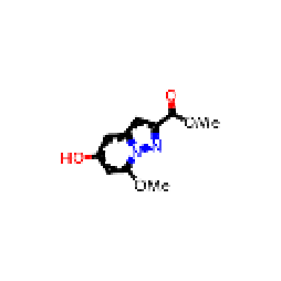 COC(=O)c1cc2cc(O)cc(OC)n2n1